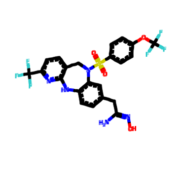 N/C(Cc1ccc2c(c1)N(S(=O)(=O)c1ccc(OC(F)(F)F)cc1)Cc1ccc(C(F)(F)F)nc1N2)=N\O